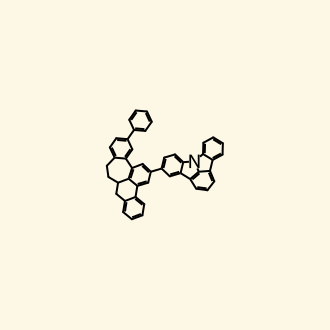 c1ccc(-c2ccc3c(c2)-c2cc(-c4ccc5c(c4)c4cccc6c7ccccc7n5c64)cc4c2C(CC3)Cc2ccccc2-4)cc1